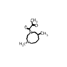 CC(=O)C(=O)N1CCN(C)CCCC(C)C1